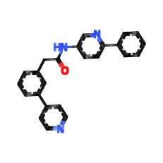 O=C(Cc1cccc(-c2ccncc2)c1)Nc1ccc(-c2ccccc2)nc1